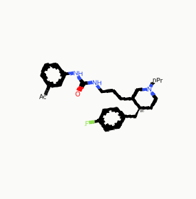 CCCN1CC[C@@H](Cc2ccc(F)cc2)C(CCCNC(=O)Nc2cccc(C(C)=O)c2)C1